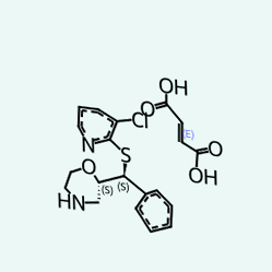 Clc1cccnc1S[C@@H](c1ccccc1)[C@@H]1CNCCO1.O=C(O)/C=C/C(=O)O